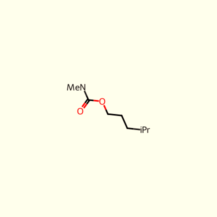 CNC(=O)OCCCC(C)C